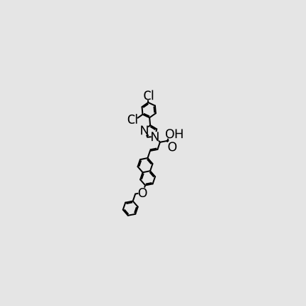 O=C(O)C(C=Cc1ccc2cc(OCc3ccccc3)ccc2c1)n1cnc(-c2ccc(Cl)cc2Cl)c1